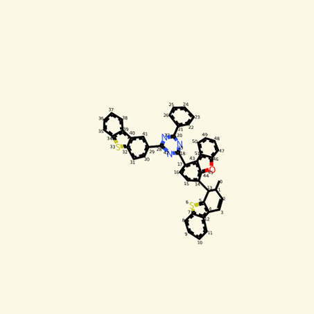 CC1C=Cc2c(sc3ccccc23)C1c1ccc(-c2nc(-c3ccccc3)nc(-c3ccc4sc5ccccc5c4c3)n2)c2c1oc1ccccc12